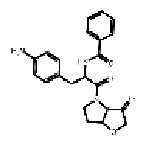 Nc1ccc(CC(NC(=O)c2ccccc2)C(=O)N2CCC3OCC(=O)C32)cc1